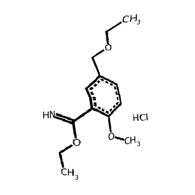 CCOCc1ccc(OC)c(C(=N)OCC)c1.Cl